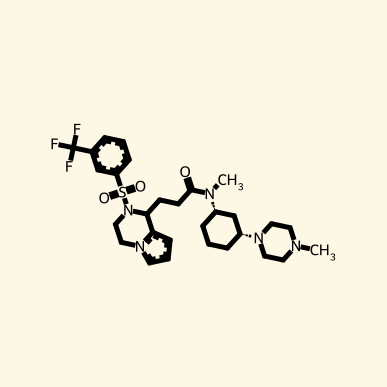 CN1CCN([C@@H]2CCC[C@H](N(C)C(=O)CCC3c4cccn4CCN3S(=O)(=O)c3cccc(C(F)(F)F)c3)C2)CC1